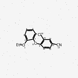 CCOc1ccccc1Oc1ccc(C#N)cc1Cl